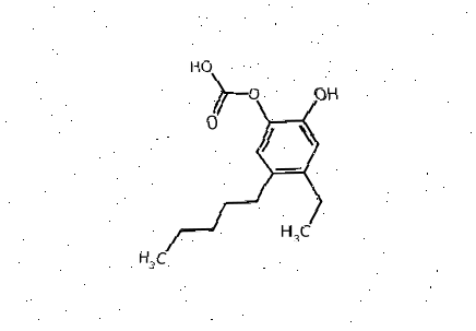 CCCCCc1cc(OC(=O)O)c(O)cc1CC